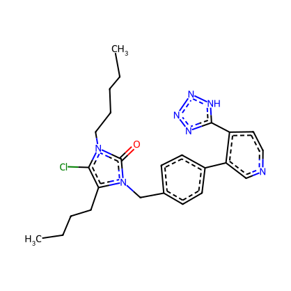 CCCCCn1c(Cl)c(CCCC)n(Cc2ccc(-c3cnccc3-c3nnn[nH]3)cc2)c1=O